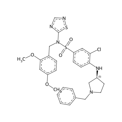 COc1ccc(CN(c2ncns2)S(=O)(=O)c2ccc(N[C@H]3CCN(Cc4ccccc4)C3)c(Cl)c2)c(OC)c1